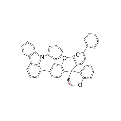 c1ccc(-c2ccc3c(c2)Oc2cc(-c4cccc5c6ccccc6n(-c6ccccc6)c45)ccc2C32c3ccccc3Oc3ccccc32)cc1